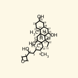 C[C@H](CCC(O)C1COC1)[C@H]1CC[C@H]2[C@@H]3C(O)CC4CC(O)CC[C@]4(C)[C@H]3CC(O)[C@]12C